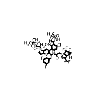 Cn1nc(NS(C)(=O)=O)c2c(Cl)ccc(-c3cc4c(ccn4CC(=O)OC(C)(C)C)nc3[C@@H](Cc3cc(F)cc(F)c3)NC(=O)Cn3nc(C(F)F)c4c3C(F)(F)[C@@H]3C[C@H]43)c21